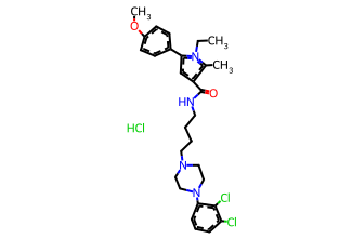 CCn1c(-c2ccc(OC)cc2)cc(C(=O)NCCCCN2CCN(c3cccc(Cl)c3Cl)CC2)c1C.Cl